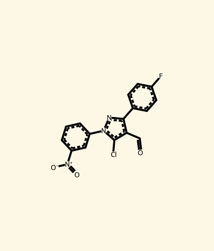 O=Cc1c(-c2ccc(F)cc2)nn(-c2cccc([N+](=O)[O-])c2)c1Cl